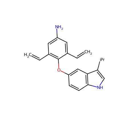 C=Cc1cc(N)cc(C=C)c1Oc1ccc2[nH]cc(C(C)C)c2c1